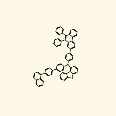 c1ccc(-c2c(-c3ccccc3)c3cc(-c4ccc(N(c5ccc(-c6ccc(-c7cccc8ccccc78)cc6)cc5)c5cccc6oc7ccccc7c56)cc4)ccc3c3ccccc23)cc1